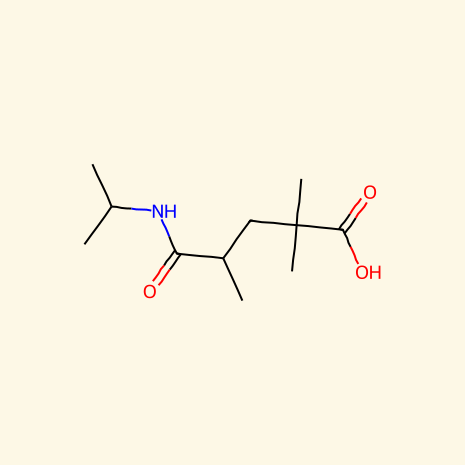 CC(C)NC(=O)C(C)CC(C)(C)C(=O)O